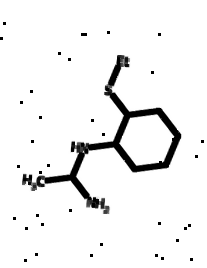 CCSC1CCCCC1NC(C)N